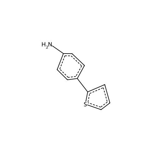 Nc1ccc(-c2cccs2)cc1